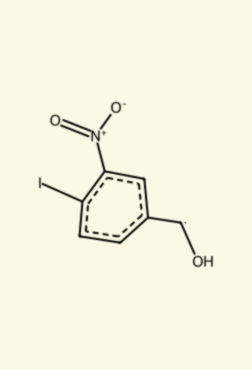 O=[N+]([O-])c1cc([CH]O)ccc1I